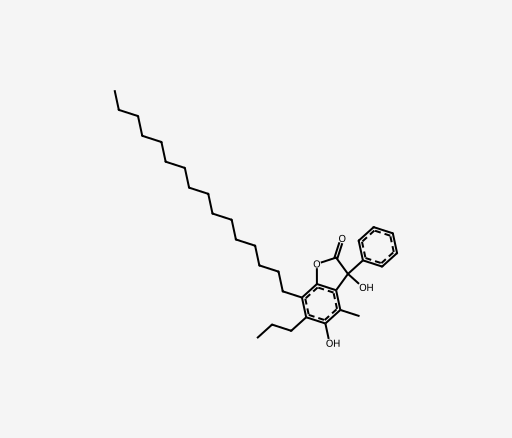 CCCCCCCCCCCCCCCCc1c(CCC)c(O)c(C)c2c1OC(=O)C2(O)c1ccccc1